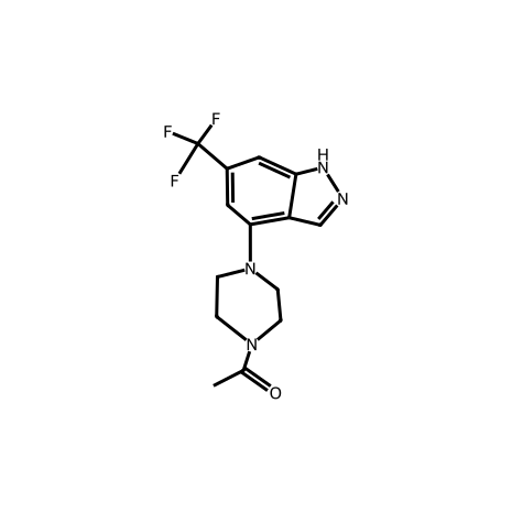 CC(=O)N1CCN(c2cc(C(F)(F)F)cc3[nH]ncc23)CC1